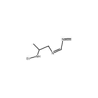 C=N/C=N\CC(C)NCC